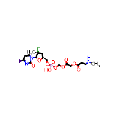 CNCCC(=O)OCC(=O)OCOP(=O)(O)OC[C@@H]1C[C@](C)(F)[C@H](n2ccc(I)nc2=O)O1